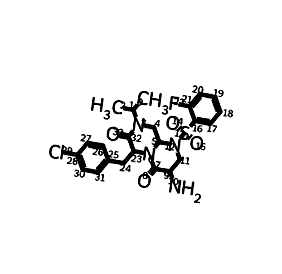 CC(C)N1CC2N(C(=O)C(N)CN2S(=O)(=O)c2ccccc2F)C(Cc2ccc(Cl)cc2)C1=O